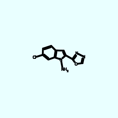 Nn1c(-c2nnco2)cc2ccc(Cl)cc21